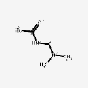 CCC(C)C(=O)NCN(C)C